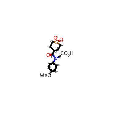 COc1ccc(N(CC(=O)O)C(=O)C2CCS(=O)(=O)CC2)cc1